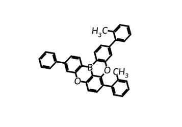 Cc1ccccc1-c1ccc2c(c1)Oc1c(-c3ccccc3C)ccc3c1B2c1ccc(-c2ccccc2)cc1O3